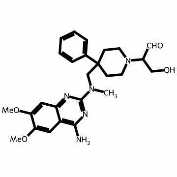 COc1cc2nc(N(C)CC3(c4ccccc4)CCN(C(C=O)CO)CC3)nc(N)c2cc1OC